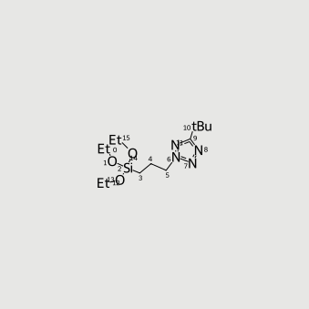 CCO[Si](CCCn1nnc(C(C)(C)C)n1)(OCC)OCC